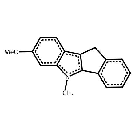 COc1ccc2c3c(n(C)c2c1)-c1ccccc1C3